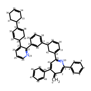 C=C1C=C(c2ccccc2)N=C(C2=CC=CC(c3cccc(-c4ncccc4C4C=CC(C5CC=CCC5)=CC4)c3)C2)C=C1c1ccccc1